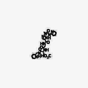 CN(C(=O)Nc1ccccn1)c1nc(C(=O)NCC(=O)N[C@@H](CC(=O)O)C(=O)NCc2ccccn2)cs1